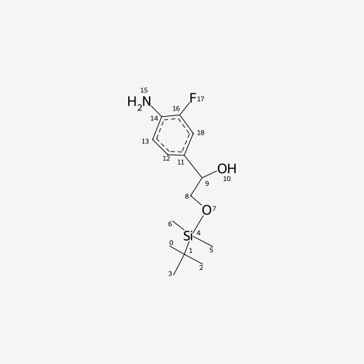 CC(C)(C)[Si](C)(C)OCC(O)c1ccc(N)c(F)c1